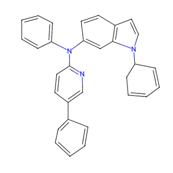 C1=CCC(n2ccc3ccc(N(c4ccccc4)c4ccc(-c5ccccc5)cn4)cc32)C=C1